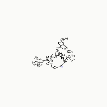 COc1ccc2c(O[C@@H]3C[C@H]4C(=O)N[C@]5(C(=O)O)CC5/C=C\CCCCC[C@H](NC(=O)NC(CN5Cc6sccc6S5(=O)=O)C(C)(C)C)C(=O)N4C3)cc(-c3csc(NC(C)C)n3)nc2c1